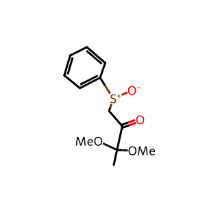 COC(C)(OC)C(=O)C[S+]([O-])c1ccccc1